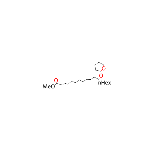 CCCCCCC(CCCCCCCCCCC(=O)OC)OC1CCCCO1